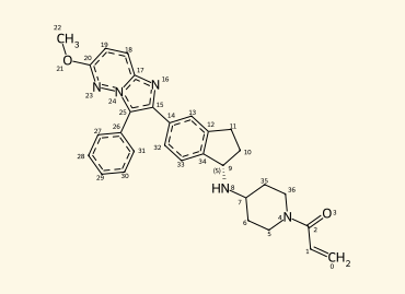 C=CC(=O)N1CCC(N[C@H]2CCc3cc(-c4nc5ccc(OC)nn5c4-c4ccccc4)ccc32)CC1